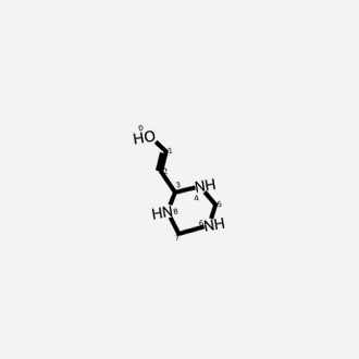 OC=CC1NCNCN1